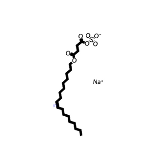 CCCCCCCC/C=C\CCCCCCCCOC(=O)CCC(=O)OS(=O)(=O)[O-].[Na+]